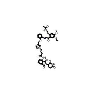 CCOc1cc(C(=O)/C=C/c2ccccc2OCc2cn(CCCC(=O)Nc3cccc4c3C(=O)N(C3CCC(=O)NC3=O)C4=O)nn2)c(CCNC(C)=O)cc1OC